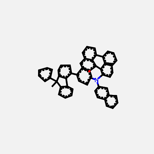 CC1(c2ccccc2)c2ccccc2-c2c(-c3ccc(N(c4ccc5ccccc5c4)c4ccccc4-c4cccc5cccc(-c6ccccc6)c45)cc3)cccc21